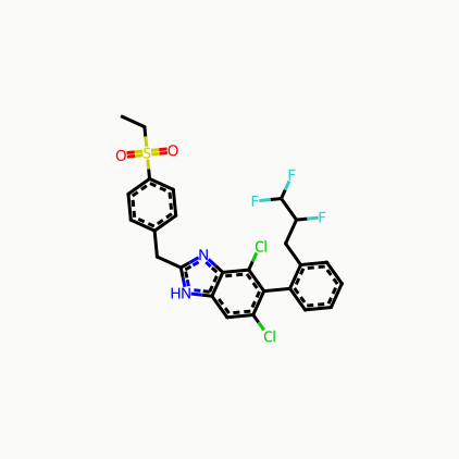 CCS(=O)(=O)c1ccc(Cc2nc3c(Cl)c(-c4ccccc4CC(F)C(F)F)c(Cl)cc3[nH]2)cc1